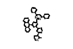 Cc1ncccc1-c1cccc(-c2cc(-c3nc(-c4ccccc4)cc(-c4ccccc4)n3)cc(-c3c4ccccc4cc4ccccc34)c2)c1